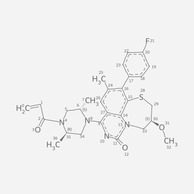 C=CC(=O)N1C[C@H](C)N(c2nc(=O)n3c4c(c(-c5ccc(F)cc5)c(C)cc24)SC[C@@H](OC)C3)C[C@H]1C